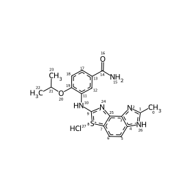 Cc1nc2c(ccc3sc(Nc4cc(C(N)=O)ccc4OC(C)C)nc32)[nH]1.Cl